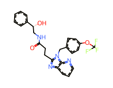 O=C(CCc1nc2cccnc2n1Cc1ccc(OC(F)(F)F)cc1)NC[C@@H](O)c1ccccc1